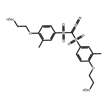 CCCCCCCCCCCCOc1ccc(S(=O)(=O)C(=[N+]=[N-])S(=O)(=O)c2ccc(OCCCCCCCCCCCC)c(C)c2)cc1C